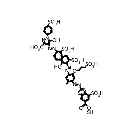 Cc1cc(N=Nc2c(S(=O)(=O)O)cc3c(S(=O)(=O)O)c(N=Nc4c(C(=O)O)nn(-c5ccc(S(=O)(=O)O)cc5)c4O)ccc3c2O)c(OCCCS(=O)(=O)O)cc1N=Nc1nc2c(S(=O)(=O)O)cc(C(=O)OS)cc2s1